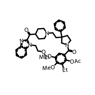 CCOCCn1c(C(=O)C2CCN(CCC3(c4ccccc4)CCN(C(=O)c4cc(OC)c(OC)c(CC)c4OC(C)=O)C3)CC2)nc2ccccc21